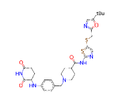 CC(C)(C)c1cnc(CSc2cnc(NC(=O)C3CCN(Cc4ccc(NC5CCC(=O)NC5=O)cc4)CC3)s2)o1